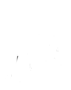 C=CCCCCN(C)C(=O)C[C@H](C)CNC(=O)[C@H](CCCC=C)CC(=O)O